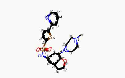 CN1CCN(c2cc(NS(=O)(=O)c3ccc(-c4ccccn4)s3)cc3c2OCC3)CC1